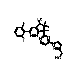 CCC1c2cc(-c3c(F)cccc3F)nnc2C(C)(c2nccc(-n3ccc(CO)n3)n2)C1(C)C